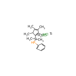 CC1=C(C)C(C)C([Si](C)(C)Pc2ccccc2)=C1C.Cl.Cl.[Ti]